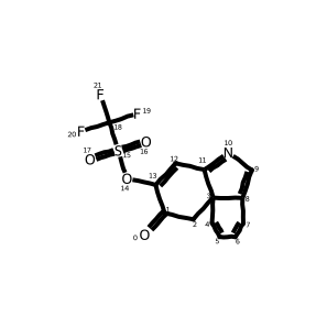 O=C1CC23C=CC=CC2=CN=C3C=C1OS(=O)(=O)C(F)(F)F